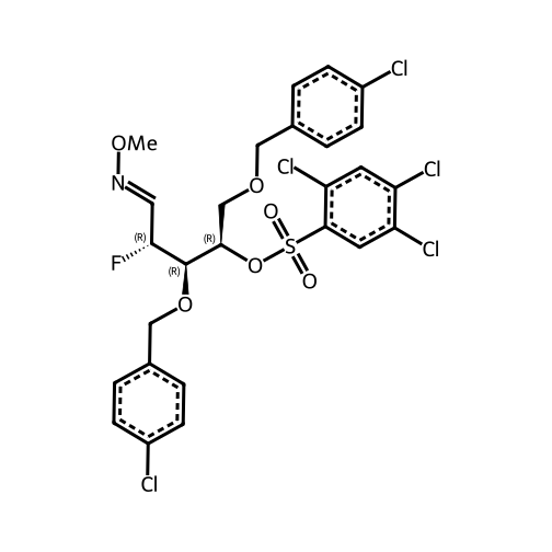 CON=C[C@@H](F)[C@H](OCc1ccc(Cl)cc1)[C@@H](COCc1ccc(Cl)cc1)OS(=O)(=O)c1cc(Cl)c(Cl)cc1Cl